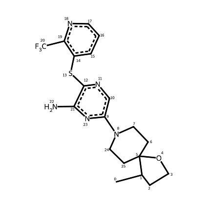 CC1CCOC12CCN(c1cnc(Sc3cccnc3C(F)(F)F)c(N)n1)CC2